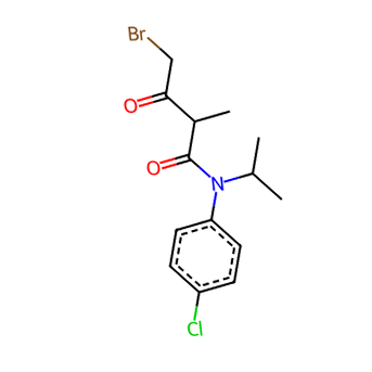 CC(C(=O)CBr)C(=O)N(c1ccc(Cl)cc1)C(C)C